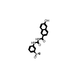 O=C(NC(=O)c1ccc2cc(O)ccc2c1)Nc1cccc([N+](=O)[O-])c1